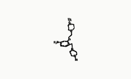 CCN1CCN(CCOc2cc(N)ccc2CN2CCN(CC)CC2)CC1